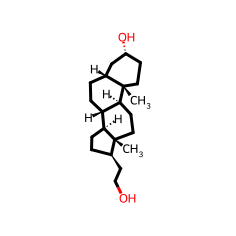 C[C@]12CC[C@@H](O)C[C@H]1CC[C@@H]1[C@@H]2CC[C@]2(C)[C@@H](CCO)CC[C@@H]12